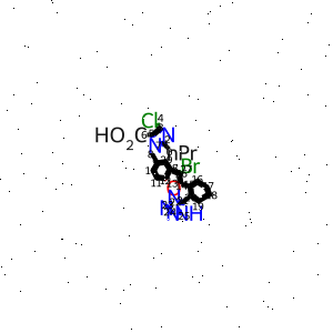 CCCc1nc(Cl)c(C(=O)O)n1Cc1ccc2oc(-c3ccccc3-c3nnn[nH]3)c(Br)c2c1